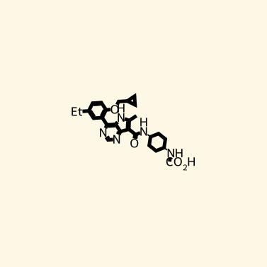 CCc1ccc(OCC2CC2)c(-c2ncnc3c(C(=O)N[C@H]4CC[C@@H](NC(=O)O)CC4)c(C)[nH]c23)c1